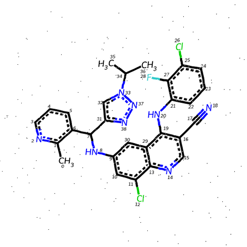 Cc1ncccc1C(Nc1cc(Cl)c2ncc(C#N)c(Nc3cccc(Cl)c3F)c2c1)c1cn(C(C)C)nn1